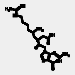 N=C(N)NCCCCC(N)CN(CC(=O)O)C(=O)Cn1cnc2c(=O)[nH]c(N)nc21